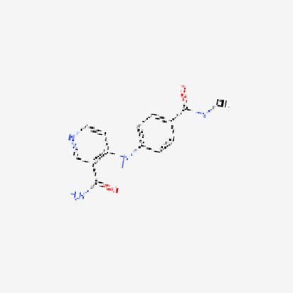 CNC(=O)c1ccc(Nc2ccncc2C(N)=O)cc1